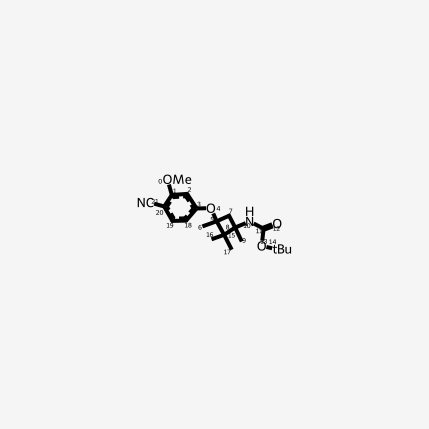 COc1cc(OC2(C)CC(C)(NC(=O)OC(C)(C)C)C2(C)C)ccc1C#N